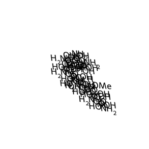 COC(=O)N[C@H]1[C@H](O[C@H]2[C@H](O)[C@@H](N)[C@H](O[C@H]3[C@H](O)[C@@H](N)[C@H](O)O[C@@H]3CO)O[C@@H]2CO)O[C@H](CO)[C@@H](O[C@@H]2O[C@H](CO)[C@@H](O[C@@H]3O[C@H](CO)[C@@H](O[C@@H]4O[C@H](CO)[C@@H](O[C@@H]5O[C@H](CO)[C@@H](O[C@@H]6O[C@H](CO)[C@@H](O[C@@H]7O[C@H](CO)[C@@H](O)[C@H](O)[C@H]7N)[C@H](O)[C@H]6N)[C@H](O)[C@H]5N)[C@H](O)[C@H]4N)[C@H](O)[C@H]3N)[C@H](O)[C@H]2N)[C@@H]1O.OO